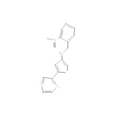 O=[N+]([O-])c1ccccc1CNc1csc(-c2cnccn2)c1